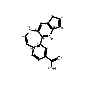 O=C(O)c1cc[n+]2c(c1)-c1nc3c(cc1OC=C2)CC=C3